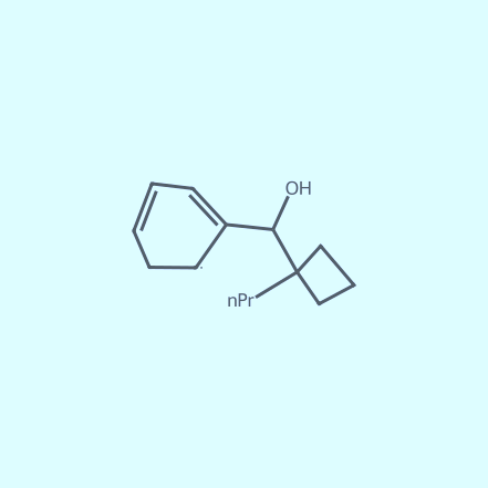 CCCC1(C(O)C2=CC=CC[CH]2)CCC1